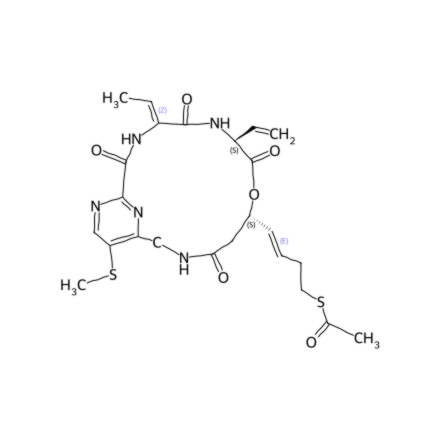 C=C[C@@H]1NC(=O)/C(=C/C)NC(=O)c2ncc(SC)c(n2)CNC(=O)C[C@@H](/C=C/CCSC(C)=O)OC1=O